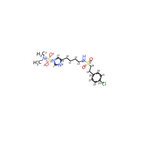 CN(C)S(=O)(=O)n1cnc(CCCCNS(=O)(=O)CCc2ccc(Cl)cc2)c1